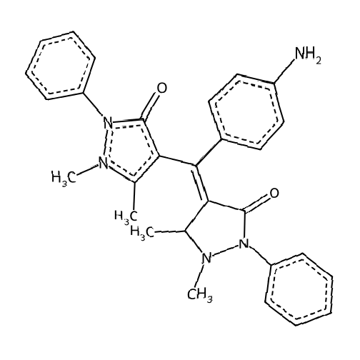 Cc1c(C(=C2C(=O)N(c3ccccc3)N(C)C2C)c2ccc(N)cc2)c(=O)n(-c2ccccc2)n1C